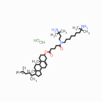 CC[C@H](CC[C@@H](C)C1CCC2C3CC=C4CC(OC(=O)CCCC(=O)N(CCCCCCCC(C)(C)N)CCC(C)(C)N)CCC4(C)C3CCC21C)C(C)C.Cl.Cl